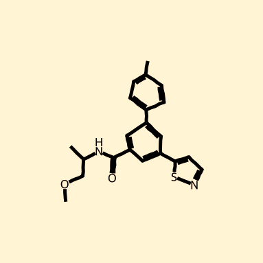 COCC(C)NC(=O)c1cc(-c2ccc(C)cc2)cc(-c2ccns2)c1